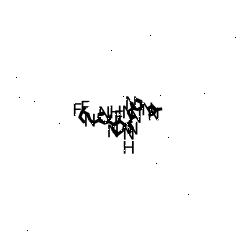 Cc1cn(-c2ccnc3[nH]c(-c4n[nH]c5cnc(-c6cncc(CN7CCC(F)(F)C7)c6)c(F)c45)nc23)cn1